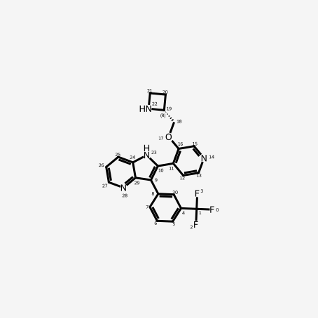 FC(F)(F)c1cccc(-c2c(-c3ccncc3OC[C@H]3CCN3)[nH]c3cccnc23)c1